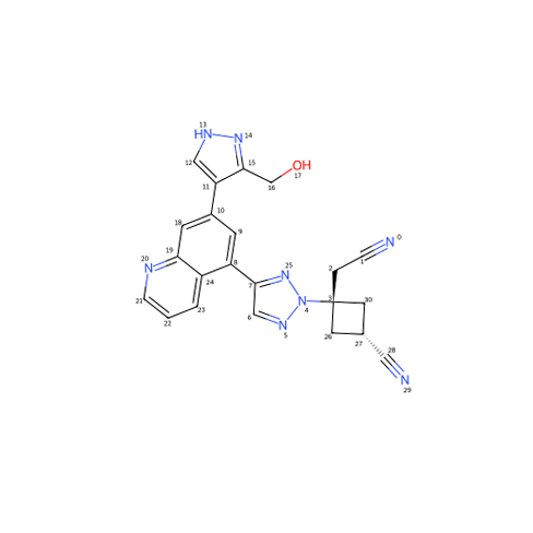 N#CC[C@]1(n2ncc(-c3cc(-c4c[nH]nc4CO)cc4ncccc34)n2)C[C@@H](C#N)C1